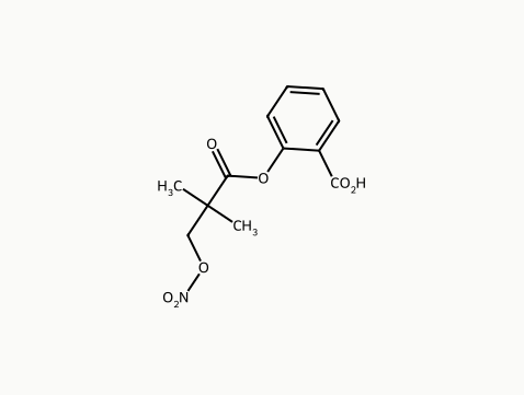 CC(C)(CO[N+](=O)[O-])C(=O)Oc1ccccc1C(=O)O